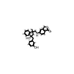 CC(O)(Cc1cccc(O)c1)CC(C)(CNc1ccc2c(c1)COC2=O)c1ccccc1